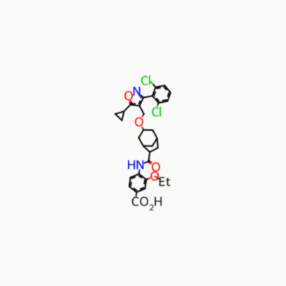 CCOc1cc(C(=O)O)ccc1NC(=O)C1CC2CC(OCc3c(-c4c(Cl)cccc4Cl)noc3C3CC3)CC1C2